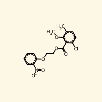 COc1c(C)ccc(Cl)c1C(=O)OCCOc1ccccc1[N+](=O)[O-]